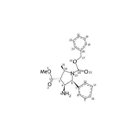 COC(=O)[C@H]1[C@H](N)[C@H](c2ccccc2)N(C(=O)OCc2ccccc2)[C@@H]1C